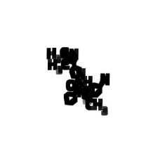 Cc1c(-c2ccc(NC(=O)[C@H](NC[C@@H](C)c3ccc(C#N)cc3)c3ccccc3)nc2)cnn1C